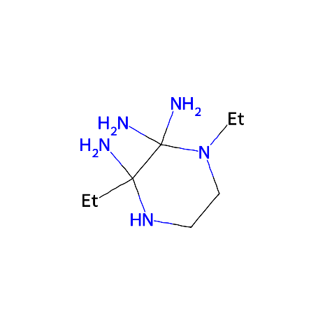 CCN1CCNC(N)(CC)C1(N)N